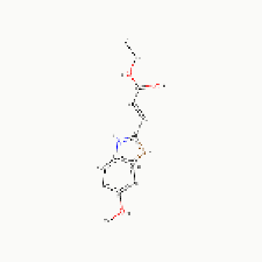 CCOC(=O)/C=C/c1nc2ccc(OC)cc2s1